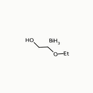 CCOCCO.[BiH3]